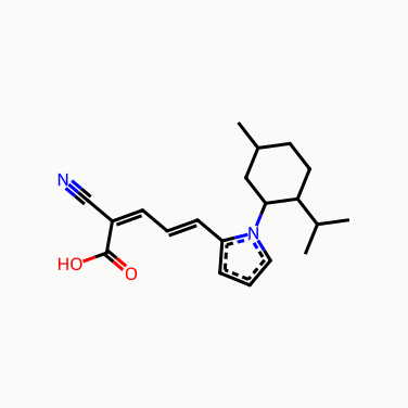 CC1CCC(C(C)C)C(n2cccc2C=CC=C(C#N)C(=O)O)C1